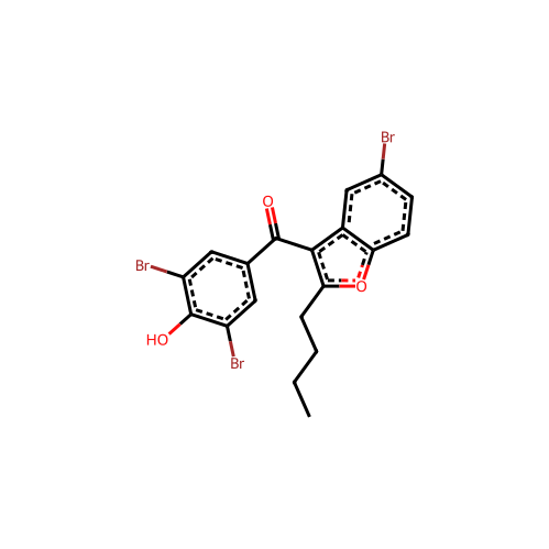 CCCCc1oc2ccc(Br)cc2c1C(=O)c1cc(Br)c(O)c(Br)c1